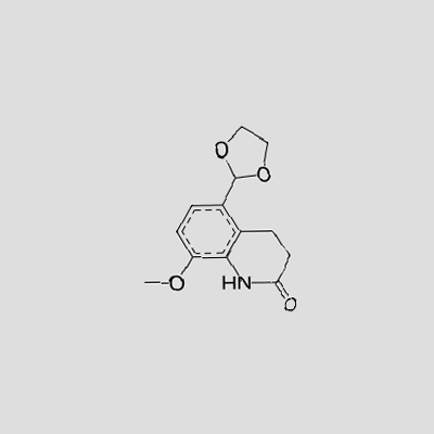 COc1ccc(C2OCCO2)c2c1NC(=O)CC2